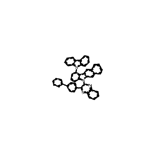 c1ccc(-c2ccc(-c3nc4ccccc4nc3-n3c4cc5ccccc5cc4c4c(-n5c6ccccc6c6ccccc65)cccc43)cc2)cc1